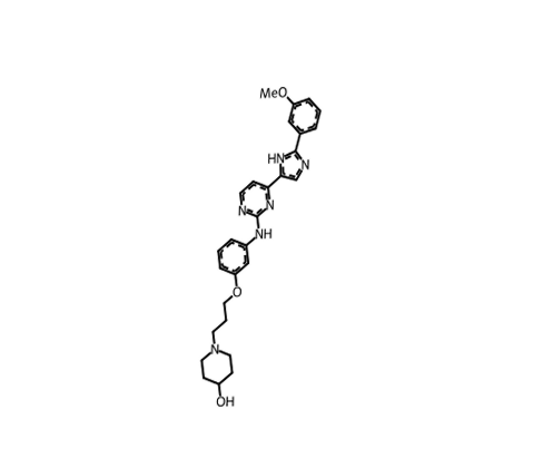 COc1cccc(-c2ncc(-c3ccnc(Nc4cccc(OCCCN5CCC(O)CC5)c4)n3)[nH]2)c1